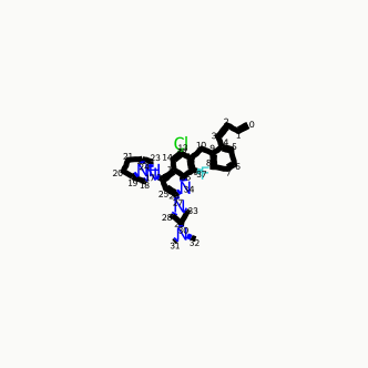 C=C/C=C\c1ccccc1Cc1c(Cl)cc2c(N3CC4CCC(C3)N4)cc(N3CC(N(C)C)C3)nc2c1F